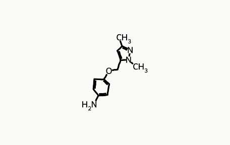 Cc1cc(COc2ccc(N)cc2)n(C)n1